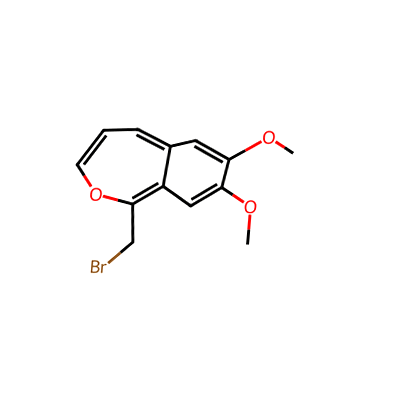 COc1cc2c(cc1OC)=C(CBr)OC=CC=2